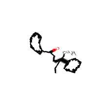 CC(CC(=O)c1ccccc1)(C(=O)O)c1ccccc1